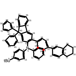 CC(C)(C)c1ccc(N(c2ccccc2)c2cc3c(cc2-c2ccc(-c4ccc5c(c4)CCCC5)cc2)-c2ccccc2C3(c2ccccc2)c2ccccc2)cc1